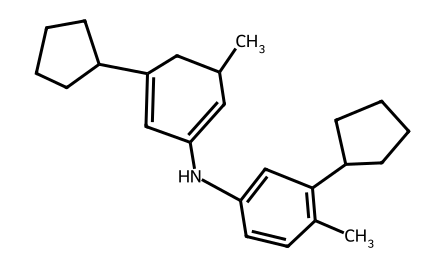 Cc1ccc(NC2=CC(C)CC(C3CCCC3)=C2)cc1C1CCCC1